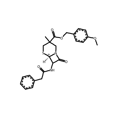 COc1ccc(COC(=O)C2(C)CS[C@@H]3C(NC(=O)Cc4ccccc4)C(=O)N3C2)cc1